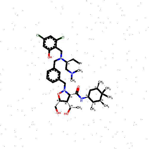 CC(C)C[C@@H](CN(C)C)N(Cc1cccc(CN2O[C@@H](CO)[C@@H]([C@H](C)O)[C@H]2C(=O)N[C@H]2C[C@@H](C)C(C)(C)[C@@H](C)[C@@H]2C)c1)Cc1c(O)cc(Cl)cc1Cl